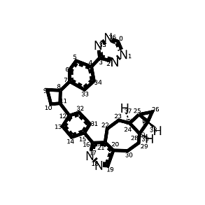 c1nnc(-c2ccc(C3CCC3c3ccc(-c4nncc5c4CC[C@H]4C6C[C@@H]6[C@H]4CC5)cc3)cc2)nn1